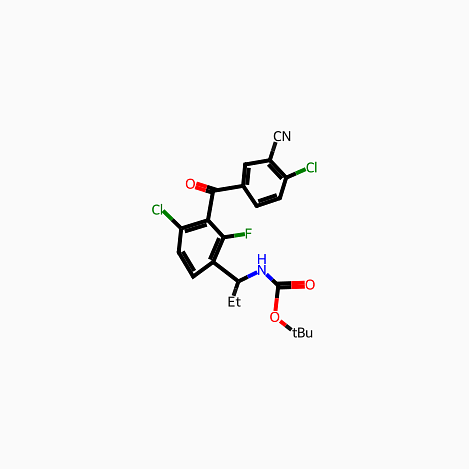 CCC(NC(=O)OC(C)(C)C)c1ccc(Cl)c(C(=O)c2ccc(Cl)c(C#N)c2)c1F